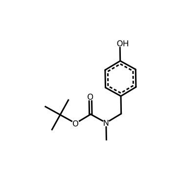 CN(Cc1ccc(O)cc1)C(=O)OC(C)(C)C